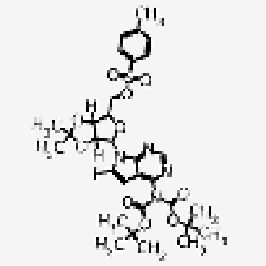 Cc1ccc(S(=O)(=O)OC[C@H]2O[C@@H](n3c(I)cc4c(N(C(=O)OC(C)(C)C)C(=O)OC(C)(C)C)ncnc43)[C@@H]3OC(C)(C)O[C@@H]32)cc1